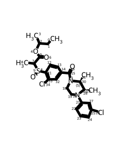 CCC(C)OC(=O)C(C)[S+]([O-])c1ccc(C(=O)N2CCN(c3cccc(Cl)c3)[C@@H](C)[C@@H]2C)cc1Cl